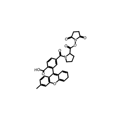 Cc1ccc2c(c1)OC1=CCC=CC1=C2c1cc(C(=O)N2CCCC2C(=O)ON2C(=O)CCC2=O)ccc1C(=O)O